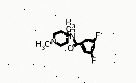 CN1CCC(C)(NC(=O)c2cc(F)cc(F)c2)CC1